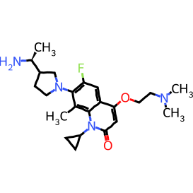 Cc1c(N2CCC([C@H](C)N)C2)c(F)cc2c(OCCN(C)C)cc(=O)n(C3CC3)c12